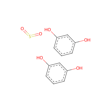 O=S=O.Oc1cccc(O)c1.Oc1cccc(O)c1